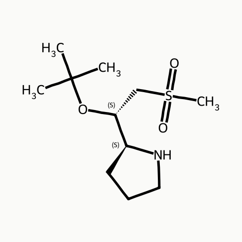 CC(C)(C)O[C@H](CS(C)(=O)=O)[C@@H]1CCCN1